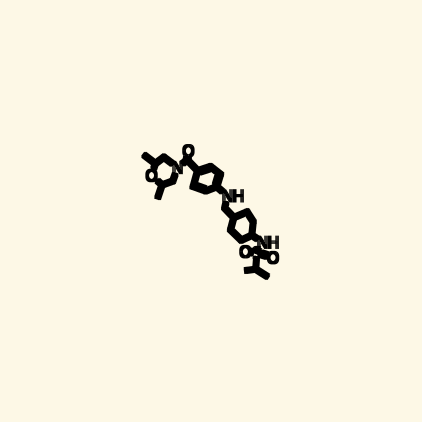 CC1CN(C(=O)c2ccc(NCC3CCC(NS(=O)(=O)C(C)C)CC3)cc2)CC(C)O1